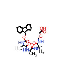 C[C@H](NC(=O)OCC1c2ccccc2-c2ccccc21)C(=O)N[C@@H](C)C(=O)N[C@@H](C)C(=O)NCOCC(=O)O